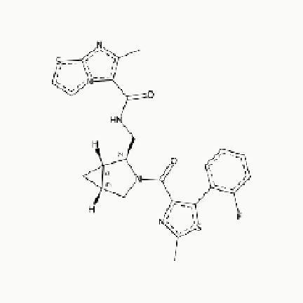 Cc1nc(C(=O)N2C[C@@H]3C[C@@H]3[C@H]2CNC(=O)c2c(C)nc3sccn23)c(-c2ccccc2F)s1